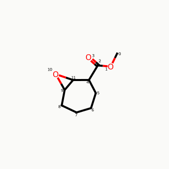 COC(=O)C1CCCCC2OC21